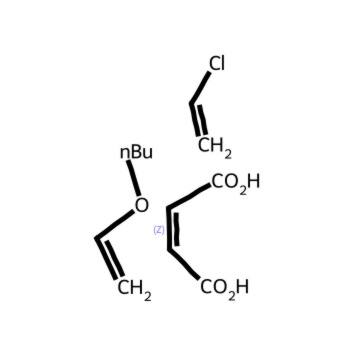 C=CCl.C=COCCCC.O=C(O)/C=C\C(=O)O